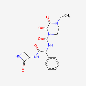 CCN1CCN(C(=O)NC(C(=O)NC2CNC2=O)c2ccccc2)C(=O)C1=O